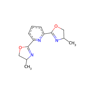 CC1COC(c2cccc(C3=NC(C)CO3)n2)=N1